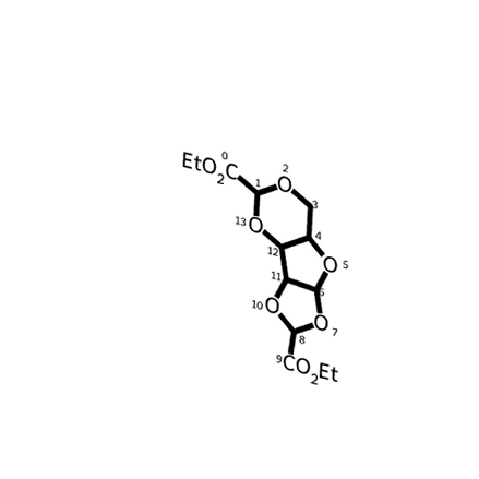 CCOC(=O)C1OCC2OC3OC(C(=O)OCC)OC3C2O1